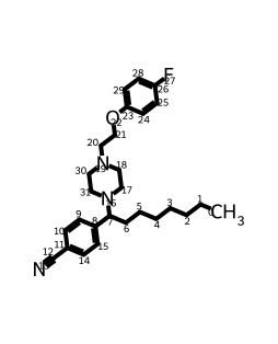 CCCCCCCC(c1ccc(C#N)cc1)N1CCN(CCOc2ccc(F)cc2)CC1